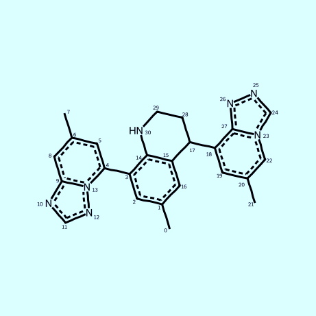 Cc1cc(-c2cc(C)cc3ncnn23)c2c(c1)C(c1cc(C)cn3cnnc13)CCN2